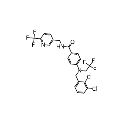 O=C(NCc1ccc(C(F)(F)F)nc1)c1ccc(N(Cc2cccc(Cl)c2Cl)CC(F)(F)F)cc1